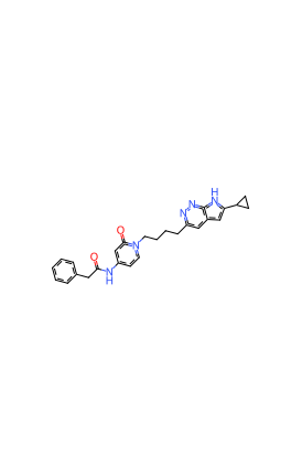 O=C(Cc1ccccc1)Nc1ccn(CCCCc2cc3cc(C4CC4)[nH]c3nn2)c(=O)c1